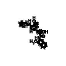 Cc1cc2ccccc2cc1NC(=O)c1sc(Nc2snc(O)c2C(=N)NCCc2ccc[nH]2)nc1O